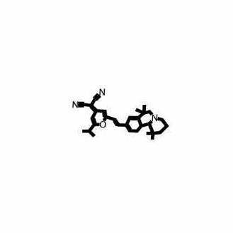 CC(C)C1=CC(=C(C#N)C#N)C=C(C=CC2=CCC3C(=C2)C(C)(C)CN2CCCC(C)(C)C32)O1